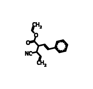 C=COC(=O)C(C=Cc1ccccc1)C(C#N)C=C